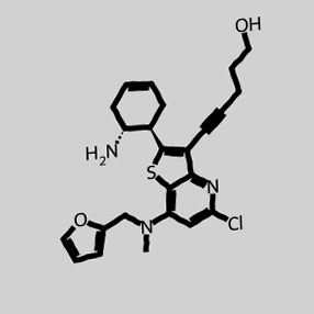 CN(Cc1ccco1)c1cc(Cl)nc2c(C#CCCCO)c([C@@H]3CC=CC[C@H]3N)sc12